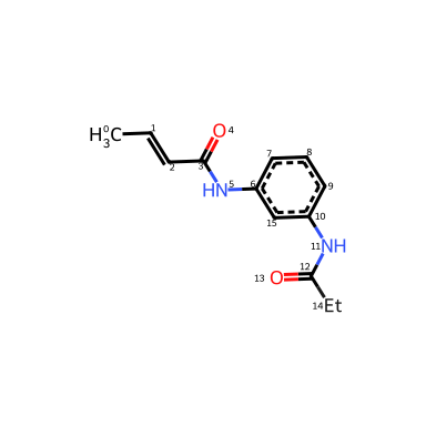 C/C=C/C(=O)Nc1cccc(NC(=O)CC)c1